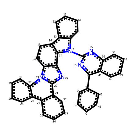 c1ccc(-c2nc(-n3c4ccccc4c4ccc5c(nc6c7ccccc7c7ccccc7n56)c43)nc3ccccc23)cc1